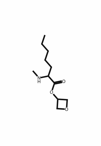 CCCCCC(NC)C(=O)OC1COC1